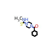 CNC(=S)N1CCN(C(=O)c2ccccc2)CC1